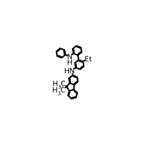 CCc1ccc(Nc2ccc3c(c2)C(C)(C)c2ccccc2-3)cc1-c1ccccc1Nc1ccccc1